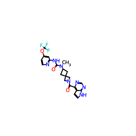 CN(C(=O)Nc1cc(OC(F)(F)F)ccn1)C1CC2(C1)CN(C(=O)c1ncnc3[nH]ccc13)C2